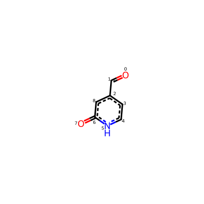 O=[C]c1cc[nH]c(=O)c1